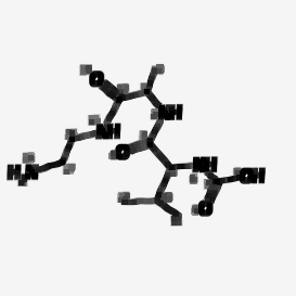 CC(NC(=O)C(NC(=O)O)C(C)C)C(=O)NCCN